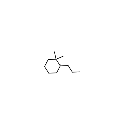 CCC[C]1CCCCC1(C)C